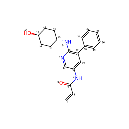 C=CC(=O)Nc1cnc(N[C@H]2CC[C@H](O)CC2)c(-c2ccccc2)c1